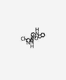 O[C@H]1Cc2ccccc2[C@H]1Nc1cccc(-c2c[nH]c3ncc(Cl)cc23)n1